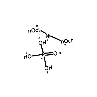 CCCCCCC[CH2][Ni][CH2]CCCCCCC.O=P(O)(O)O